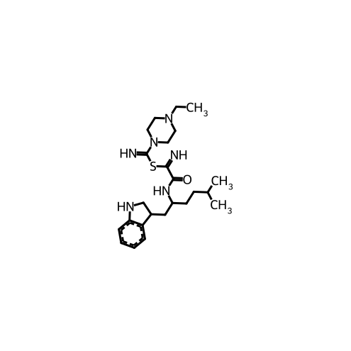 CCN1CCN(C(=N)SC(=N)C(=O)NC(CCC(C)C)CC2CNc3ccccc32)CC1